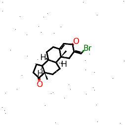 C[C@]12C/C(=C/Br)C(=O)C=C1CC[C@@H]1[C@@H]2CC[C@]2(C)C(=O)CC[C@@H]12